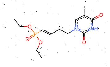 CCOP(=O)(C=CCCn1cc(C)c(=O)[nH]c1=O)OCC